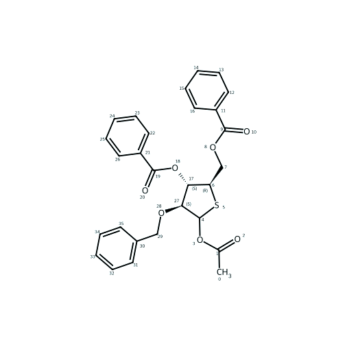 CC(=O)OC1S[C@H](COC(=O)c2ccccc2)[C@@H](OC(=O)c2ccccc2)[C@@H]1OCc1ccccc1